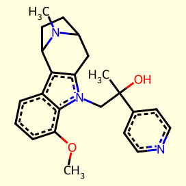 COc1cccc2c3c(n(CC(C)(O)c4ccncc4)c12)CC1CCC3N1C